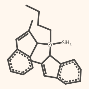 [CH2]CC[CH2][Zr]([SiH3])([CH]1C(C)=Cc2ccccc21)[CH]1C(C)=Cc2ccccc21